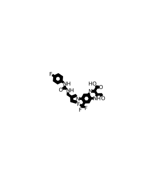 O=CC1Nc2cc(C(F)(F)F)c(-n3ccc(CNC(=O)Nc4ccc(F)cc4)c3)cc2N=C1C(=O)O